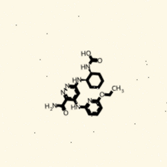 CCOc1cccc(Nc2cc(N[C@@H]3CCCC[C@@H]3NC(=O)O)nnc2C(N)=O)n1